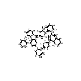 c1ccc(-c2ccc(-c3nc(-c4cccc5oc6cc(-n7c8ccccc8c8c(-c9ccccc9)cccc87)ccc6c45)nc4ccccc34)cc2)cc1